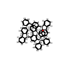 c1ccc(-c2ccc(-n3c4ccccc4c4cccc(-n5c6ccccc6c6c(-n7c8ccccc8c8ccccc87)ccc([Si](c7ccccc7)(c7ccccc7)c7ccccc7)c65)c43)cc2)cc1